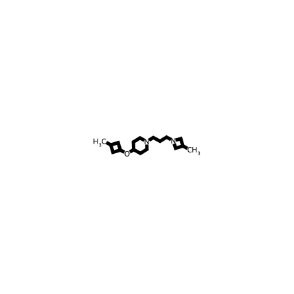 CC1CC(OC2CCN(CCCN3CC(C)C3)CC2)C1